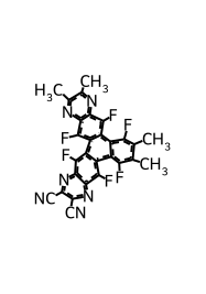 Cc1nc2c(F)c3c4c(F)c(C)c(C)c(F)c4c4c(F)c5nc(C#N)c(C#N)nc5c(F)c4c3c(F)c2nc1C